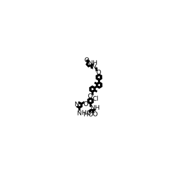 Cc1c(COc2cc(OCc3cncc(C#N)c3)c(CNC(C)(CO)C(=O)O)cc2Cl)cccc1-c1cccc(-c2ccc(OCCN3CC4(CCC(=O)N4)C3)cc2)c1C